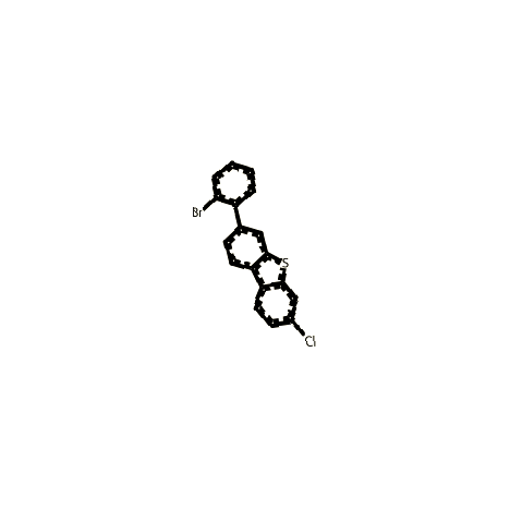 Clc1ccc2c(c1)sc1cc(-c3ccccc3Br)ccc12